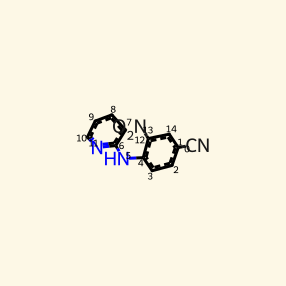 N#Cc1ccc(Nc2ccccn2)c([N+](=O)[O-])c1